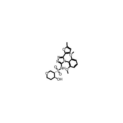 COc1cccc(OC)c1-n1c(NS(=O)(=O)[C@H]2COCC[C@@H]2O)nnc1-c1ccc(C)o1